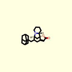 O=C1C=C2CC(CC34CC5CC(CC(C5)C3)C4)[C@@H]3C[C@@]2(O1)[C@H]1CCCCN31